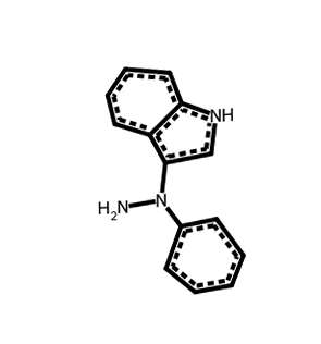 NN(c1ccccc1)c1c[nH]c2ccccc12